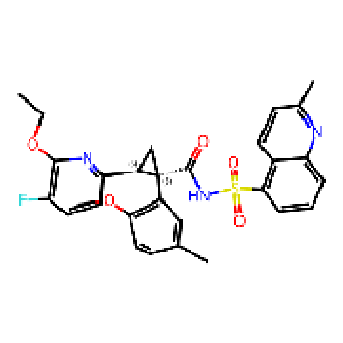 CCOc1nc([C@H]2C[C@@]2(C(=O)NS(=O)(=O)c2cccc3nc(C)ccc23)c2cc(C)ccc2OC)ccc1F